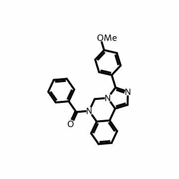 COc1ccc(-c2ncc3n2CN(C(=O)c2ccccc2)c2ccccc2-3)cc1